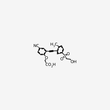 Cc1ccc(S(=O)(=O)CCO)cc1C#Cc1cc(C#N)ccc1OCC(=O)O